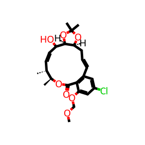 COCOc1cc(Cl)cc2c1C(=O)O[C@@H](C)[C@H](C)/C=C\C(O)[C@H]1OC(C)(C)O[C@H]1C/C=C/2